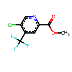 COC(=O)c1cc(C(F)(F)F)c(Cl)cn1